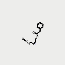 [N-]=[N+]=NC/C=C\COC(=O)Cc1ccccc1